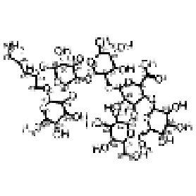 CC1O[C@@H](O[C@H]2C(C(=O)O)O[C@H](OC3C(O)[C@@H](O)C(C)O[C@H]3OC3C(O)[C@@H](O)[C@H](C)O[C@H]3OC3C(O)[C@@H](O)C(C)O[C@H]3OCCCCCN)C(O)C2O[C@@H]2OC(CO)[C@H](O)C(O)C2O)C(O)C(O)[C@H]1O